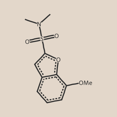 COc1cccc2cc(S(=O)(=O)N(C)C)oc12